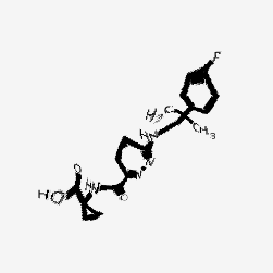 CC(C)(CNc1ccc(C(=O)NC2(C(=O)O)CC2)nn1)c1ccc(F)cc1